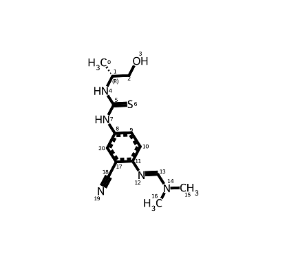 C[C@H](CO)NC(=S)Nc1ccc(N=CN(C)C)c(C#N)c1